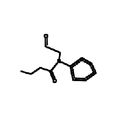 CCCC(=O)N(CC=O)c1ccccc1